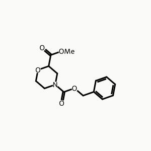 COC(=O)C1CN(C(=O)OCc2ccccc2)CCO1